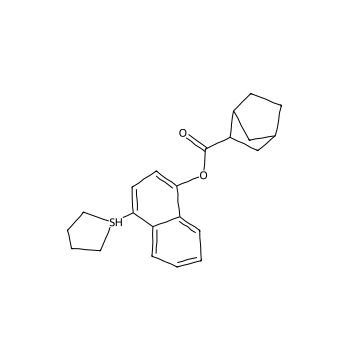 O=C(Oc1ccc([SH]2CCCC2)c2ccccc12)C1CC2CCC1C2